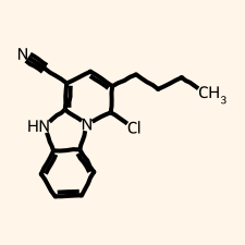 CCCCC1=CC(C#N)=C2Nc3ccccc3N2C1Cl